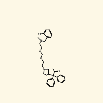 CC(=O)C(c1ccccc1)(c1ccccc1)C1CCN(CCOCOCCN(C)Cc2ccccc2Cl)C1